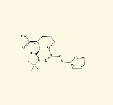 CC(C)(C)OC(=O)[C@H]1[C@@H](C(=O)O)CCCN1C(=O)OCc1ccccc1